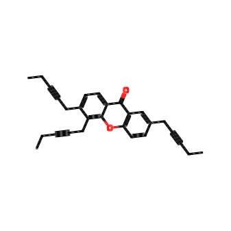 CCC#CCc1ccc2oc3c(CC#CCC)c(CC#CCC)ccc3c(=O)c2c1